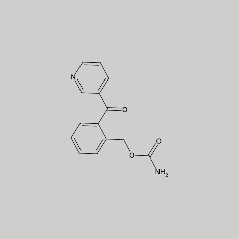 NC(=O)OCc1ccccc1C(=O)c1cccnc1